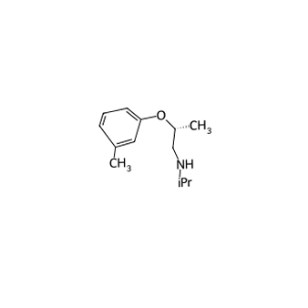 Cc1cccc(O[C@H](C)CNC(C)C)c1